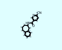 N#Cc1ccc(C(=O)NC2CCCc3ccccc3C2)cn1